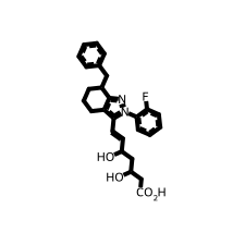 O=C(O)CC(O)CC(O)C=Cc1c2c(nn1-c1ccccc1F)C(Cc1ccccc1)CCC2